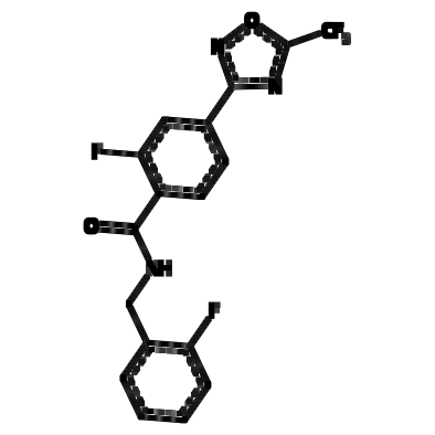 O=C(NCc1ccccc1F)c1ccc(-c2noc(C(F)(F)F)n2)cc1F